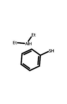 C[CH2][AlH][CH2]C.Sc1ccccc1